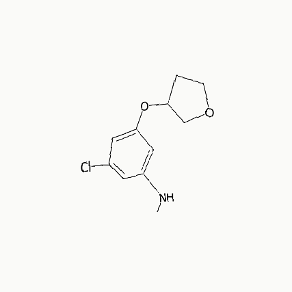 CNc1cc(Cl)cc(OC2CCOC2)c1